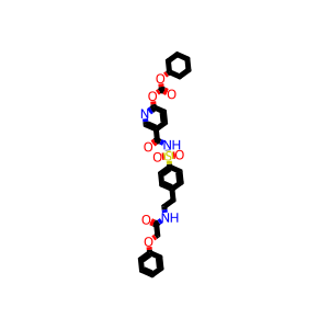 O=C(COc1ccccc1)NCCc1ccc(S(=O)(=O)NC(=O)c2ccc(OC(=O)OC3CCCCC3)nc2)cc1